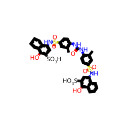 Cc1cc(S(=O)(=O)Nc2cc(S(=O)(=O)O)c(O)c3ccccc23)ccc1NC(=O)Nc1ccc(S(=O)(=O)Nc2cc(S(=O)(=O)O)c(O)c3ccccc23)cc1C